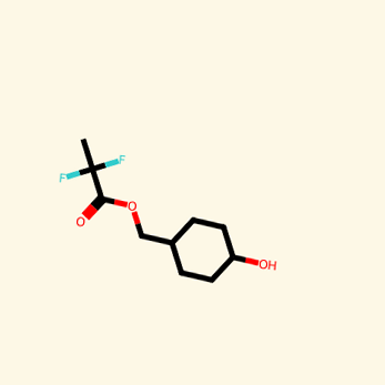 CC(F)(F)C(=O)OCC1CCC(O)CC1